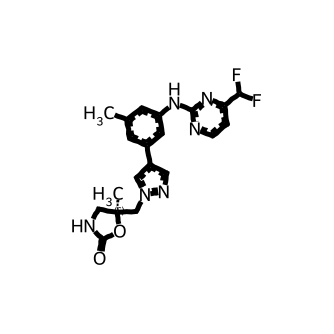 Cc1cc(Nc2nccc(C(F)F)n2)cc(-c2cnn(C[C@]3(C)CNC(=O)O3)c2)c1